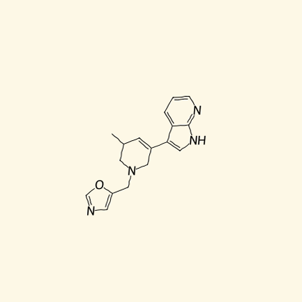 CC1C=C(c2c[nH]c3ncccc23)CN(Cc2cnco2)C1